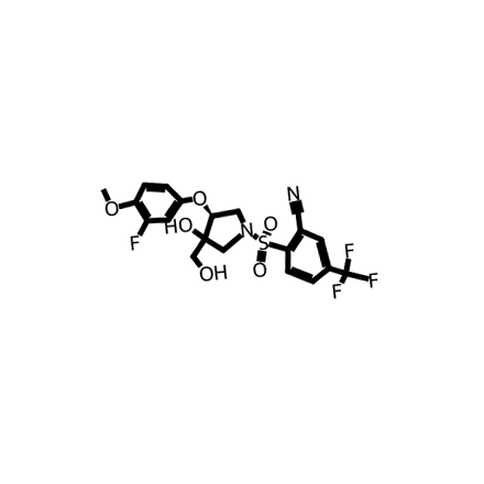 COc1ccc(O[C@H]2CN(S(=O)(=O)c3ccc(C(F)(F)F)cc3C#N)CC2(O)CO)cc1F